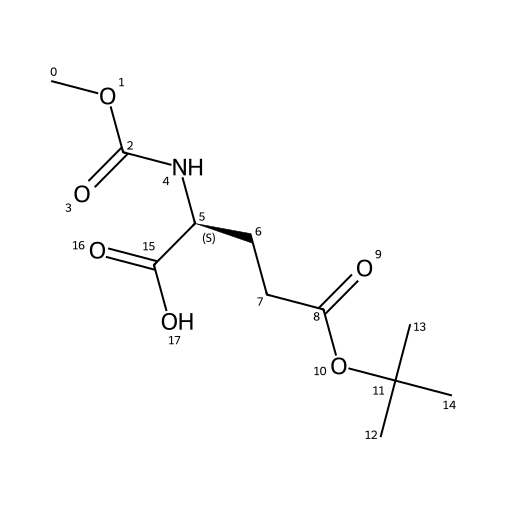 COC(=O)N[C@@H](CCC(=O)OC(C)(C)C)C(=O)O